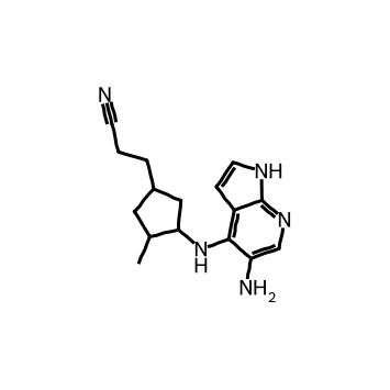 CC1CC(CCC#N)CC1Nc1c(N)cnc2[nH]ccc12